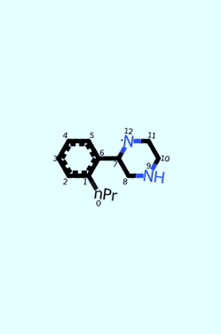 CCCc1ccccc1C1CNCC[N]1